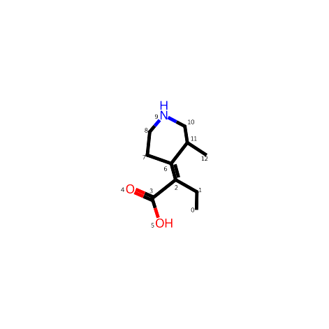 CC/C(C(=O)O)=C1/CCNCC1C